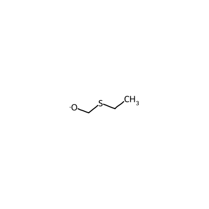 CCSC[O]